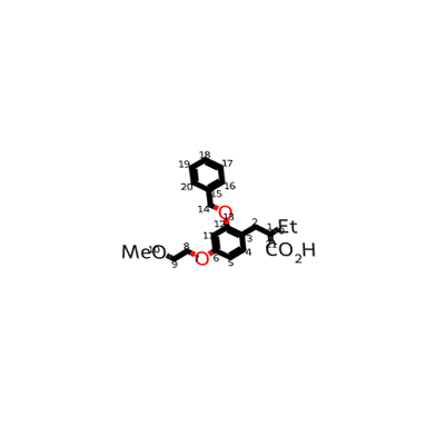 CCC(Cc1ccc(OCCOC)cc1OCc1ccccc1)C(=O)O